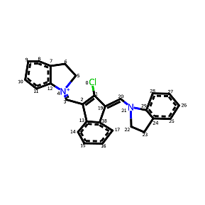 ClC1=C(/C=[N+]2\CCc3ccccc32)c2ccccc2/C1=C\N1CCc2ccccc21